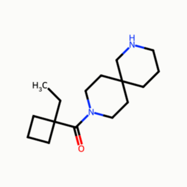 CCC1(C(=O)N2CCC3(CCCNC3)CC2)CCC1